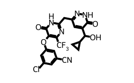 N#Cc1cc(Cl)cc(Oc2c(C(F)(F)F)nc(Cc3cc(C(O)C4CC4)c(=O)[nH]n3)[nH]c2=O)c1